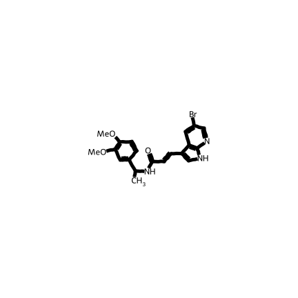 COc1ccc(C(C)NC(=O)C=Cc2c[nH]c3ncc(Br)cc23)cc1OC